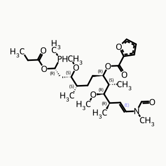 CCC(=O)O[C@@H](C[C@H](OC)[C@@H](C)CC[C@@H](OC(=O)c1ccco1)[C@H](C)[C@H](OC)[C@H](C)/C=C/N(C)C=O)PC